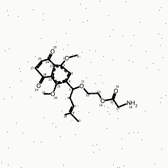 COc1cc(C(CC=C(C)C)OCCOC(=O)CN)c(OC)c2c1C(=O)C=CC2=O